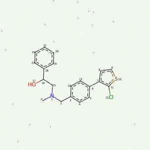 CN(Cc1ccc(-c2ccsc2Cl)cc1)CC(O)c1ccccc1